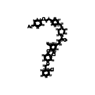 CC(=O)c1ccc(OCCc2ccc(CN3CCN(C(=O)C=Cc4cc(C)c(Oc5ccc(OCc6ccccc6Cl)cn5)c(Cl)c4)CC3)cc2)cc1